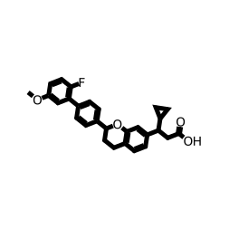 COc1ccc(F)c(-c2ccc(C3CCc4ccc(C(CC(=O)O)C5CC5)cc4O3)cc2)c1